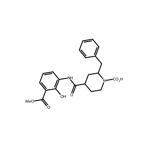 COC(=O)c1cccc(NC(=O)C2CCN(C(=O)O)C(Cc3ccccc3)C2)c1O